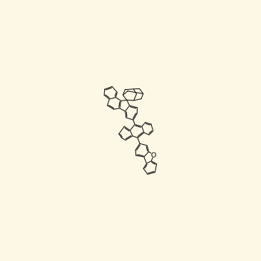 c1ccc2c3c(ccc2c1)-c1cc(-c2c4ccccc4c(-c4ccc5c(c4)oc4ccccc45)c4ccccc24)ccc1C31C2CC3CC(C2)CC1C3